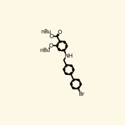 CCCCOC(=O)c1ccc(NCc2ccc(-c3ccc(Br)cc3)cc2)cc1OCCCC